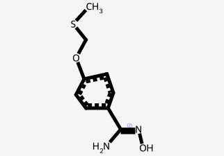 CSCOc1ccc(/C(N)=N/O)cc1